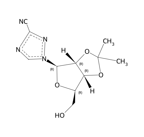 CC1(C)O[C@@H]2[C@H](O1)[C@@H](CO)O[C@H]2n1cnc(C#N)n1